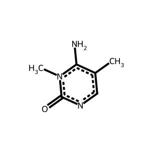 Cc1cnc(=O)n(C)c1N